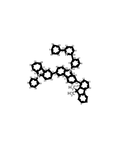 CC1(C)c2ccccc2-c2cccc(-c3ccc4c5cc(-c6ccc7c(c6)c6ccccc6n7-c6ccccc6)ccc5n(-c5cccc(-c6cccc(-c7ccccc7)n6)c5)c4c3)c21